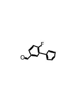 O=Cc1ccc(F)c(-c2ccccc2)c1